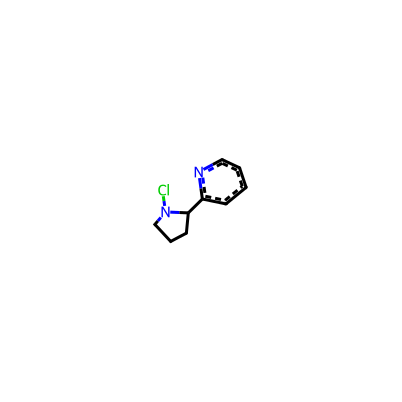 ClN1CCCC1c1ccccn1